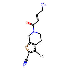 Cc1c(C#N)sc2c1CCN(C(=O)/C=C/CN)C2